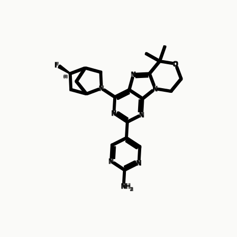 CC1(C)OCCn2c1nc1c(N3CC4CC3C[C@H]4F)nc(-c3cnc(N)nc3)nc12